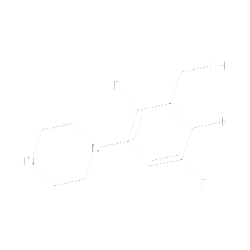 CCc1c(F)c(F)cc(N2CCNCC2)c1F